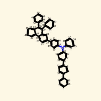 c1ccc(-c2ccc(-c3ccc(N(c4ccccc4)c4ccc(-c5ccc6c(c5)c(-c5ccccc5)c(-c5ccccc5)c5ccccc56)cc4)cc3)cc2)cc1